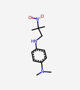 CN(C)c1ccc(NCC(C)(C)[N+](=O)[O-])cc1